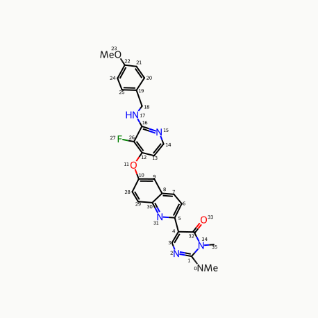 CNc1ncc(-c2ccc3cc(Oc4ccnc(NCc5ccc(OC)cc5)c4F)ccc3n2)c(=O)n1C